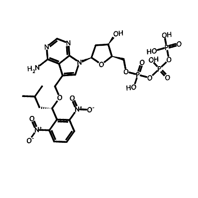 CC(C)C[C@H](OCc1cn([C@H]2C[C@@H](O)[C@@H](COP(=O)(O)OP(=O)(O)OP(=O)(O)O)O2)c2ncnc(N)c12)c1c([N+](=O)[O-])cccc1[N+](=O)[O-]